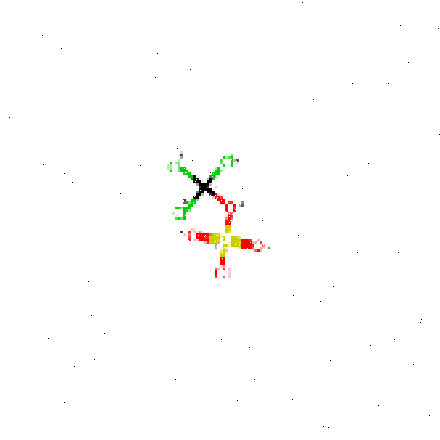 O=S(=O)(O)OC(Cl)(Cl)Cl